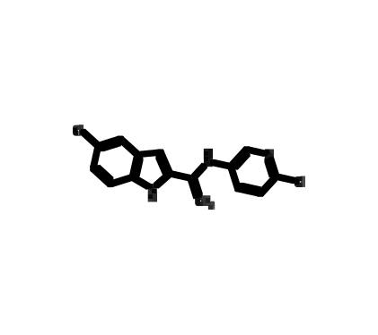 C=C(Nc1ccc(Cl)nc1)c1cc2cc(Cl)ccc2[nH]1